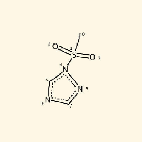 CS(=O)(=O)n1cn[c]n1